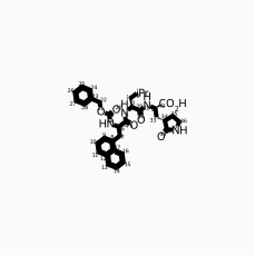 CC(C)C[C@H](NC(=O)C(Cc1cccc2ccccc12)NC(=O)OCc1ccccc1)C(=O)N[C@@H](C[C@@H]1CCNC1=O)C(=O)O